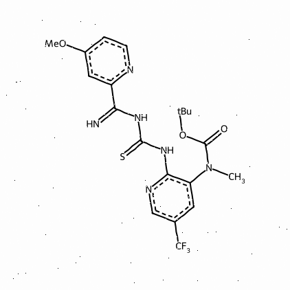 COc1ccnc(C(=N)NC(=S)Nc2ncc(C(F)(F)F)cc2N(C)C(=O)OC(C)(C)C)c1